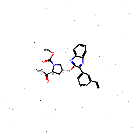 C=Cc1cccc(-c2nc3ccccc3nc2O[C@@H]2C[C@@H](C(=O)OC)N(C(=O)OC(C)(C)C)C2)c1